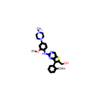 COc1ccccc1-c1c(CO)sc2cnc(Nc3ccc(N4CCN(C)CC4)cc3OC(C)C)nc12